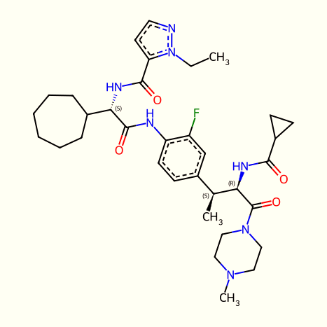 CCn1nccc1C(=O)N[C@H](C(=O)Nc1ccc([C@H](C)[C@@H](NC(=O)C2CC2)C(=O)N2CCN(C)CC2)cc1F)C1CCCCCC1